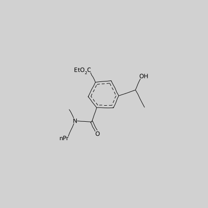 CCCN(C)C(=O)c1cc(C(=O)OCC)cc(C(C)O)c1